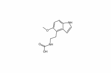 COc1ccc2[nH]ccc2c1CCNC(=O)O